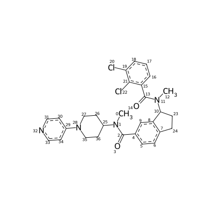 CN(C(=O)c1ccc2c(c1)C(N(C)C(=O)c1cccc(Cl)c1Cl)CC2)C1CCN(c2ccncc2)CC1